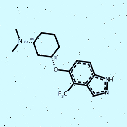 CN(C)[C@@H]1CCC[C@H](Oc2ccc3[nH]ncc3c2C(F)(F)F)C1